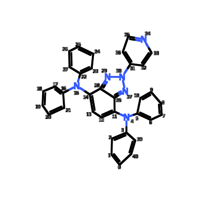 c1ccc(N(c2ccccc2)c2ccc(N(c3ccccc3)c3ccccc3)c3nn(-c4ccncc4)nc23)cc1